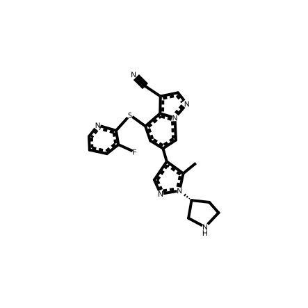 Cc1c(-c2cc(Sc3ncccc3F)c3c(C#N)cnn3c2)cnn1[C@@H]1CCNC1